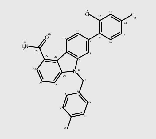 Cc1ccc(Cn2c3cc(-c4ccc(Cl)cc4Cl)c[c]c3c3c(C(N)=O)cccc32)cc1